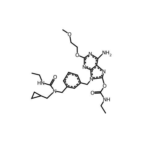 CCNC(=O)Oc1nc2c(N)nc(OCCOC)nc2n1Cc1cccc(CN(CC2CC2)C(=O)NCC)c1